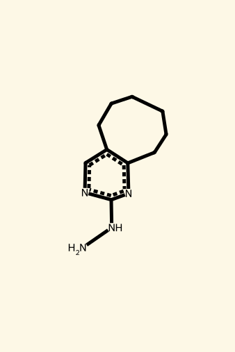 NNc1ncc2c(n1)CCCCCC2